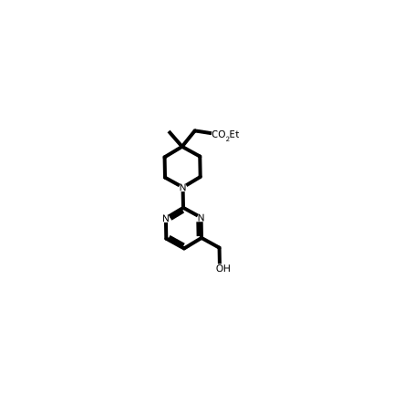 CCOC(=O)CC1(C)CCN(c2nccc(CO)n2)CC1